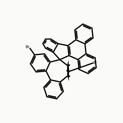 Brc1ccc2c(c1)C1(c3cc(Br)ccc3-c3ccccc3-2)c2ccccc2-c2c1c1ccccc1c1ccccc21